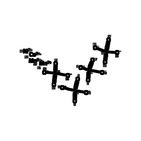 O=S(=O)([O-])[O-].O=S(=O)([O-])[O-].O=S(=O)([O-])[O-].O=S(=O)([O-])[O-].[Co+2].[Mn+2].[Mn+2].[Ni+2]